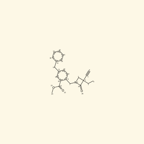 C#CC1(CC)CN(Cc2ccc(Cc3ccccc3)cc2C(=O)OC)C1=O